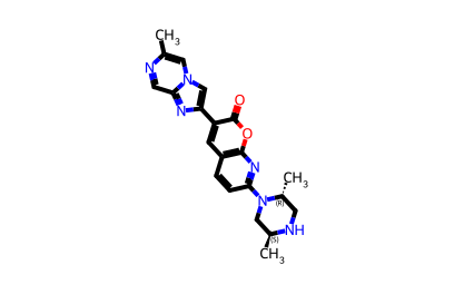 Cc1cn2cc(-c3cc4ccc(N5C[C@H](C)NC[C@H]5C)nc4oc3=O)nc2cn1